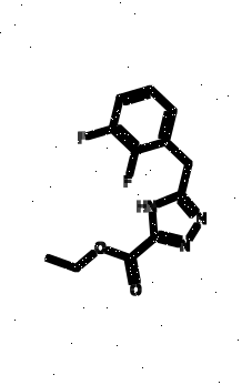 CCOC(=O)c1nnc(Cc2cccc(F)c2F)[nH]1